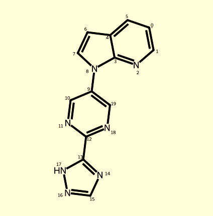 [c]1cnc2c(c1)ccn2-c1cnc(-c2ncn[nH]2)nc1